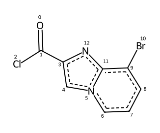 O=C(Cl)c1cn2cccc(Br)c2n1